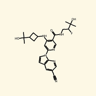 CC(C)(O)C(F)CNC(=O)c1cnc(-n2ccc3cc(C#N)cnc32)cc1NC1CC(C(C)(C)O)C1